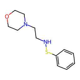 c1ccc(SNCCN2CCOCC2)cc1